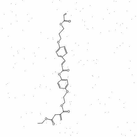 C=CC(=O)OCCCOc1ccc(/C=C/C(=O)Oc2ccc(OCCOC(=O)C(=C)CC(=O)OCC)cc2)cc1